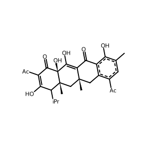 CC(=O)C1=C(O)C(C(C)C)[C@@]2(C)C[C@@]3(C)Cc4c(C(C)=O)cc(C)c(O)c4C(=O)C3=C(O)[C@@]2(O)C1=O